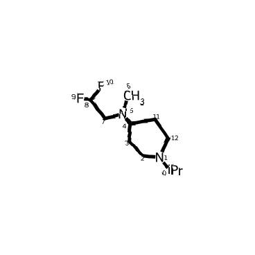 CC(C)N1CCC(N(C)CC(F)F)CC1